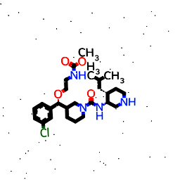 COC(=O)NCCO[C@@H](c1cccc(Cl)c1)C1CCCN(C(=O)N[C@@H]2CNCC[C@H]2CC(C)C)C1